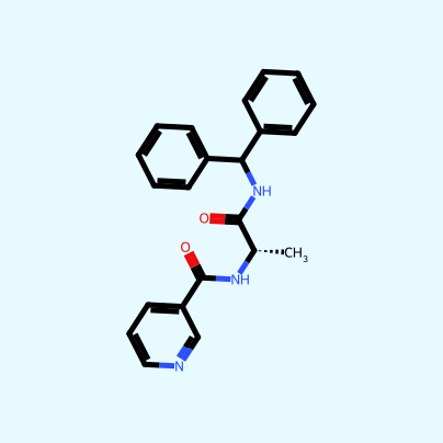 C[C@H](NC(=O)c1cccnc1)C(=O)NC(c1ccccc1)c1ccccc1